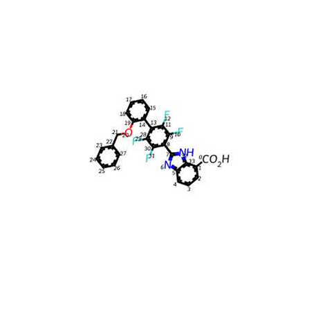 O=C(O)c1cccc2nc(-c3c(F)c(F)c(-c4ccccc4OCc4ccccc4)c(F)c3F)[nH]c12